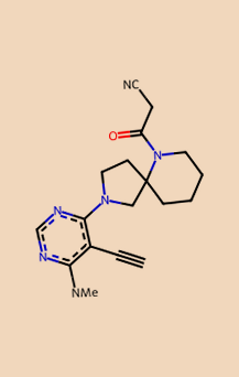 C#Cc1c(NC)ncnc1N1CCC2(CCCCN2C(=O)CC#N)C1